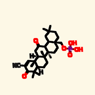 CC1(C)CC[C@]2(COP(=O)(O)O)CC[C@]3(C)C(C(=O)C[C@@H]4[C@@]5(C)C=C(C#N)C(=O)C(C)(C)[C@@H]5CC[C@]43C)C2C1